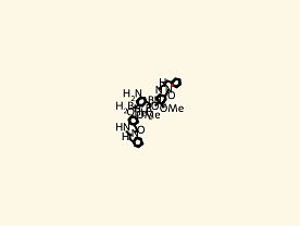 BC(B)(Oc1cc2c(cc1OC)C(=O)N1c3ccccc3C[C@H]1C=N2)c1cc(N)cc(C(B)(B)Oc2cc3c(cc2OC)C(=O)N2c4ccccc4C[C@H]2CN3)c1